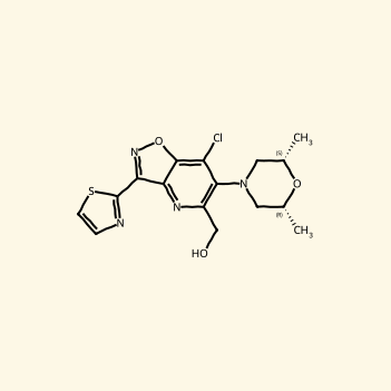 C[C@@H]1CN(c2c(CO)nc3c(-c4nccs4)noc3c2Cl)C[C@H](C)O1